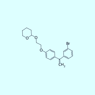 C=C(c1ccc(OCCOC2CCCCO2)cc1)c1cccc(Br)c1